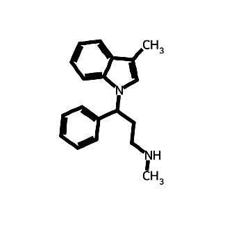 CNCCC(c1ccccc1)n1cc(C)c2ccccc21